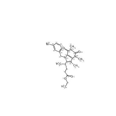 CCOC(=O)CCC(C)C1N(C)c2c(c(=O)n(C)c(=O)n2C)N1Cc1cccc(Br)c1